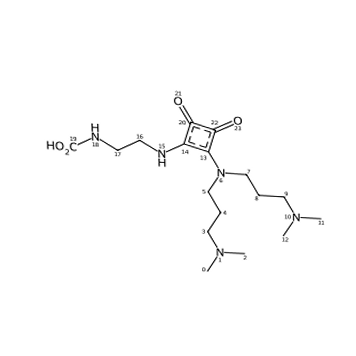 CN(C)CCCN(CCCN(C)C)c1c(NCCNC(=O)O)c(=O)c1=O